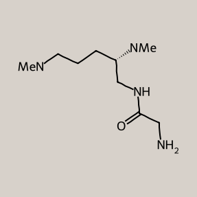 CNCCC[C@@H](CNC(=O)CN)NC